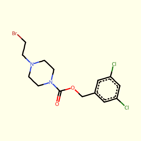 O=C(OCc1cc(Cl)cc(Cl)c1)N1CCN(CCBr)CC1